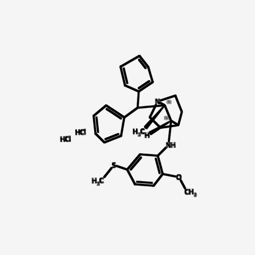 COc1ccc(SC)cc1N[C@H]1C2CCN(CC2)[C@@]1(C)C(c1ccccc1)c1ccccc1.Cl.Cl